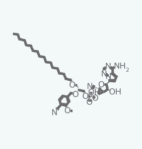 CCCCCCCCCCCCCCCCCCOC[C@H](COP(=O)(O)OC1C2[C@@H](O)[C@H](c3ccc4c(N)ncnn34)O[C@]12C#N)OCc1ccc(C#N)c(OC)c1